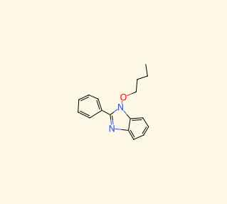 CCCCOn1c(-c2ccccc2)nc2ccccc21